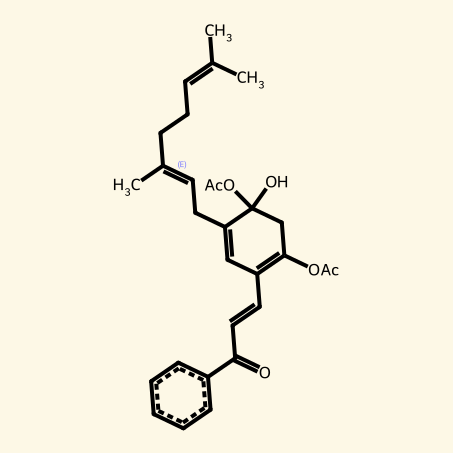 CC(=O)OC1=C(C=CC(=O)c2ccccc2)C=C(C/C=C(\C)CCC=C(C)C)C(O)(OC(C)=O)C1